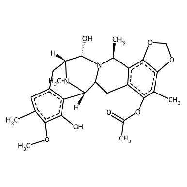 COc1c(C)cc2c(c1O)[C@H]1C3Cc4c(OC(C)=O)c(C)c5c(c4[C@H](C)N3[C@@H](O)[C@@H](C2)N1C)OCO5